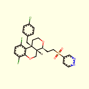 O=S(=O)(CC[C@@H]1OCC[C@@]2(Cc3ccc(Cl)cc3)c3c(F)ccc(F)c3OC[C@@H]12)c1ccnnc1